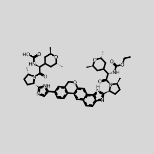 CCOC(=O)N[C@H](C(=O)N1[C@@H](C)CC[C@H]1c1nc2ccc3cc4c(cc3c2[nH]1)OCc1cc(-c2cnc([C@@H]3CC[C@H](C)N3C(=O)[C@@H](NC(=O)O)C3C[C@@H](C)O[C@H](C)C3)[nH]2)ccc1-4)C1C[C@@H](C)O[C@H](C)C1